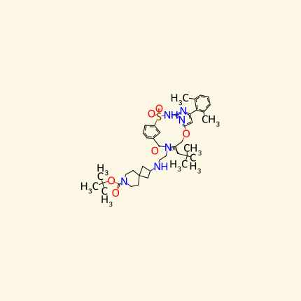 Cc1cccc(C)c1-c1cc2nc(n1)NS(=O)(=O)c1cccc(c1)C(=O)N(CCNC1CC3(CCN(C(=O)OC(C)(C)C)CC3)C1)[C@H](CC(C)(C)C)CO2